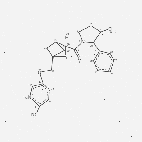 CC1CCN(C(=O)[C@H]2CC3(COc4cnc(C#N)cn4)CC2C3)C1c1ccccc1